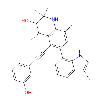 Cc1cc(-c2cccc3c(C)c[nH]c23)c(C#Cc2cccc(O)c2)c2c1NC(C)(C)C(O)C2C